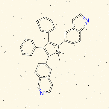 C[Si]1(C)C(c2ccc3cnccc3c2)=C(c2ccccc2)C(c2ccccc2)=C1c1ccc2cnccc2c1